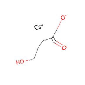 O=C([O-])CCO.[Cs+]